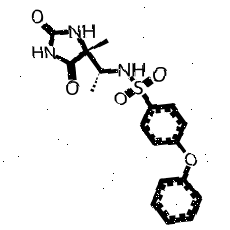 C[C@@H](NS(=O)(=O)c1ccc(Oc2ccccc2)cc1)[C@@]1(C)NC(=O)NC1=O